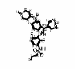 CCCS(=O)(=O)Nc1ccc(F)c(-n2cc(-c3cncnc3)c3cc(N(C)C4CCN(C)CC4)ccc32)c1F